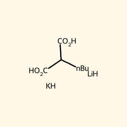 CCCCC(C(=O)O)C(=O)O.[KH].[LiH]